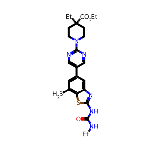 Bc1cc(-c2cnc(N3CCC(CC)(C(=O)OCC)CC3)nc2)cc2nc(NC(=O)NCC)sc12